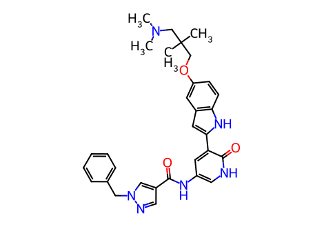 CN(C)CC(C)(C)COc1ccc2[nH]c(-c3cc(NC(=O)c4cnn(Cc5ccccc5)c4)c[nH]c3=O)cc2c1